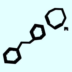 C1=C\CCCC\C=C/1.[Pt].c1ccc(CCc2ccccc2)cc1